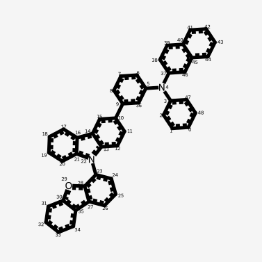 c1ccc(N(c2cccc(-c3ccc4c(c3)c3ccccc3n4-c3cccc4c3oc3ccccc34)c2)c2ccc3ccccc3c2)cc1